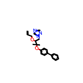 C=CCOC(Cn1cncn1)C(C)(C)Oc1ccc(-c2ccccc2)cc1